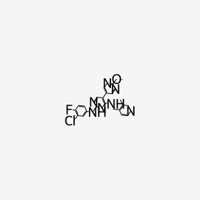 COc1ncc(-c2cnc(Nc3ccc(F)c(Cl)c3)nc2NCc2ccncc2C)cn1